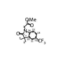 COC(=O)CN1C(=O)C(C)(C)c2cc(C(F)(F)F)ccc21